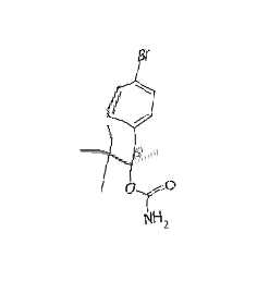 CC(C)(C)[C@](C)(OC(N)=O)c1ccc(Br)cc1